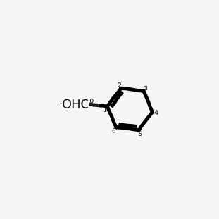 O=[C]C1=CCCC=C1